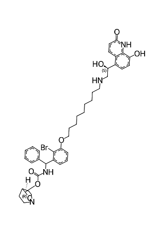 O=C(NC(c1ccccc1)c1cccc(OCCCCCCCCCNC[C@@H](O)c2ccc(O)c3[nH]c(=O)ccc23)c1Br)O[C@H]1CN2CCC1CC2